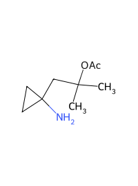 CC(=O)OC(C)(C)CC1(N)CC1